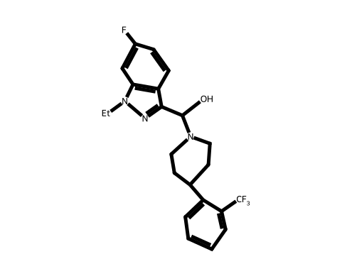 CCn1nc(C(O)N2CCC(c3ccccc3C(F)(F)F)CC2)c2ccc(F)cc21